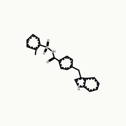 Cc1ccccc1S(=O)(=O)NC(=O)c1ccc(Cc2c[nH]c3ccccc23)cc1